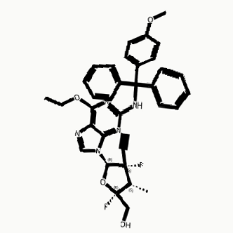 C#C[C@]1(F)[C@H](n2cnc3c(OCC)nc(NC(c4ccccc4)(c4ccccc4)c4ccc(OC)cc4)nc32)O[C@](F)(CO)[C@H]1C